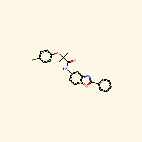 CC(C)(Oc1ccc(Cl)cc1)C(=O)Nc1ccc2oc(-c3ccccc3)nc2c1